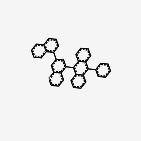 c1ccc(-c2c3ccccc3c(-c3cc(-c4cccc5ccccc45)cc4ncccc34)c3ccccc23)cc1